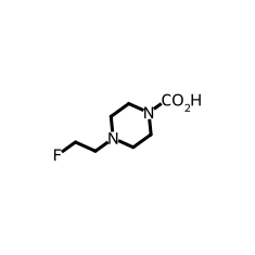 O=C(O)N1CCN(CCF)CC1